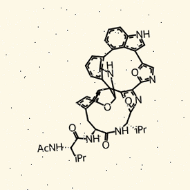 CC(=O)N[C@H](C(=O)N[C@H]1Cc2ccc3c(c2)C24c5cccc(c5NC2O3)-c2cccc3[nH]cc(c23)-c2cnc(o2)-c2nc(oc24)[C@H](C(C)C)NC1=O)C(C)C